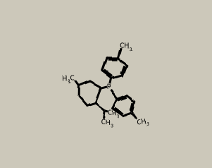 Cc1ccc(P(c2ccc(C)cc2)C2CC(C)CCC2C(C)C)cc1